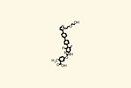 Cc1ccc(Oc2nc3c(F)c(-c4ccc(-c5ccc(-c6ccnn6CCOCCO)cc5)cc4)c(F)cc3[nH]2)cc1C(=O)O